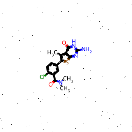 Cc1c(-c2ccc(Cl)c(C(=O)N(C)C)c2)sc2nc(N)[nH]c(=O)c12